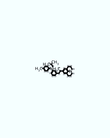 Cc1ccc(N(CC(C)C)c2cccc(CC(C)c3cc4c5c(c3)CCCN5CCC4)c2)cc1